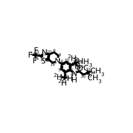 [2H]C([2H])([2H])c1cc(N2CCc3nc(C(F)(F)F)sc3C2)cc(C([2H])([2H])[2H])c1NC(=O)CC(C)(C)C